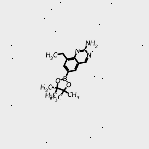 CCc1cc(B2OC(C)(C)C(C)(C)O2)cc2cnc(N)nc12